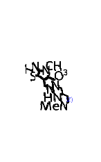 CN/C=C\C(=N)Cn1ncc2c3sc(I)nc3n(C)c2c1=O